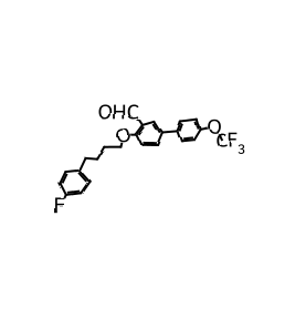 O=Cc1cc(-c2ccc(OC(F)(F)F)cc2)ccc1OCCCCc1ccc(F)cc1